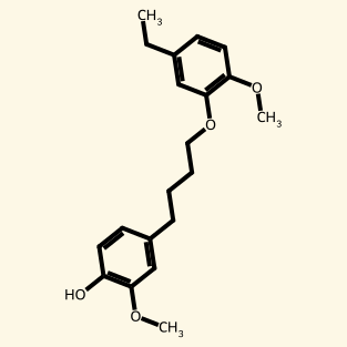 CCc1ccc(OC)c(OCCCCc2ccc(O)c(OC)c2)c1